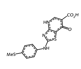 CSc1ccc(Nc2nc3[nH]cc(C(=O)O)c(=O)c3s2)cc1